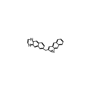 c1ccc2cc3ncc(Cc4ccc5cc6nccnc6cc5c4)cc3cc2c1